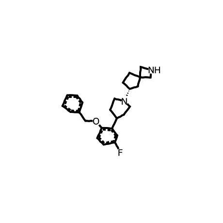 Fc1ccc(OCc2ccccc2)c(C2CCN([C@@H]3CCC4(CNC4)C3)CC2)c1